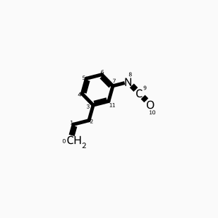 C=CCc1cccc(N=C=O)c1